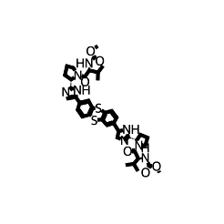 COC(=O)N[C@H](C(=O)N1CCC[C@H]1C1=NCC(c2ccc3c(c2)Sc2ccc(-c4cnc([C@@H]5CCCN5C(=O)[C@@H](NC(=O)OC)C(C)C)[nH]4)cc2S3)N1)C(C)C